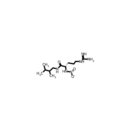 CC(C)C(C)CNC(=O)[C@H](CCCNC(=N)N)N[N+](=O)[O-]